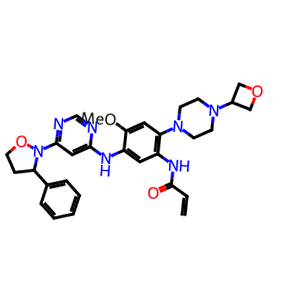 C=CC(=O)Nc1cc(Nc2cc(N3OCCC3c3ccccc3)ncn2)c(OC)cc1N1CCN(C2COC2)CC1